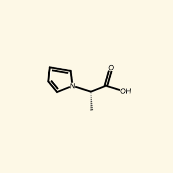 C[C@@H](C(=O)O)n1cccc1